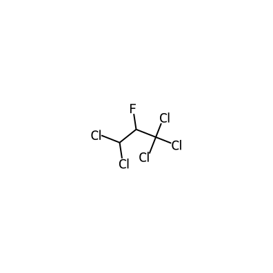 FC(C(Cl)Cl)C(Cl)(Cl)Cl